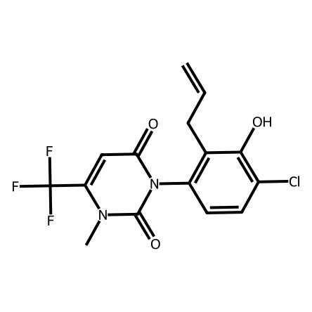 C=CCc1c(-n2c(=O)cc(C(F)(F)F)n(C)c2=O)ccc(Cl)c1O